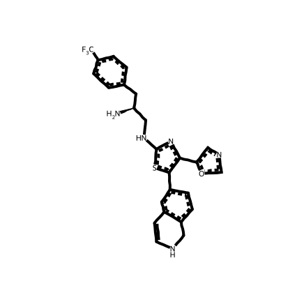 N[C@H](CNc1nc(-c2cnco2)c(-c2ccc3c(c2)C=CNC3)s1)Cc1ccc(C(F)(F)F)cc1